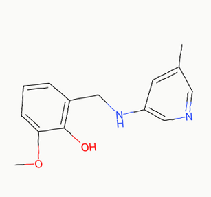 COc1cccc(CNc2cncc(C)c2)c1O